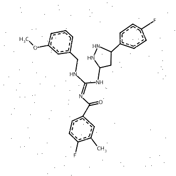 COc1cccc(CN/C(=N/C(=O)c2ccc(F)c(C)c2)NC2CC(c3ccc(F)cc3)NN2)c1